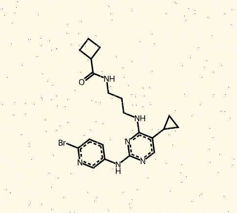 O=C(NCCCNc1nc(Nc2ccc(Br)nc2)ncc1C1CC1)C1CCC1